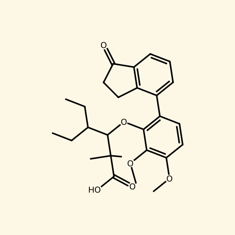 CCC(CC)C(Oc1c(-c2cccc3c2CCC3=O)ccc(OC)c1OC)C(C)(C)C(=O)O